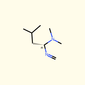 C=N[C@H](CC(C)C)N(C)C